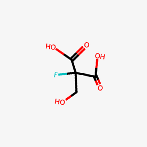 O=C(O)C(F)(CO)C(=O)O